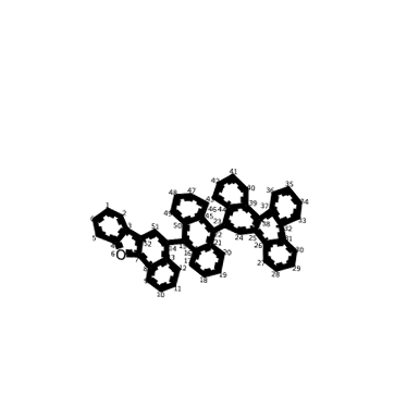 c1ccc2c(c1)oc1c3ccccc3c(-c3c4ccccc4c(-c4cc5c6ccccc6c6ccccc6c5c5ccccc45)c4ccccc34)cc21